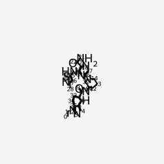 CCn1ncc2cc(C(=O)N[C@@H]3CCCN(c4cnc(C(N)=O)c(Nc5cc(C)ns5)n4)C3)ccc21